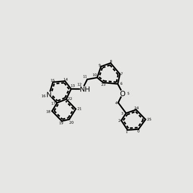 c1ccc(COc2cccc(CNc3ccnc4ccccc34)c2)cc1